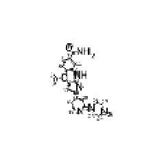 CC(C)Oc1ccc(C(N)=O)cc1Nc1nc(-c2ccnc(N3CCN(C)CC3)c2)cs1